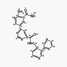 CNC(=O)c1nc(-c2cncc(C(=O)NCc3ccccc3-c3ccccc3)c2)cnc1N